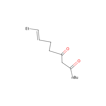 CCC=CCCC(=O)CC(=O)CCCC